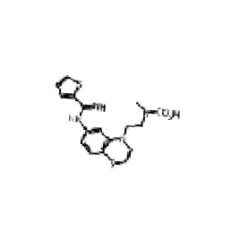 CN(CCN1CCSc2ccc(NC(=N)c3cccs3)cc21)C(=O)O